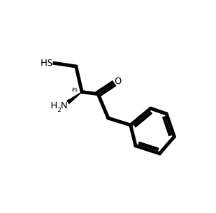 N[C@@H](CS)C(=O)Cc1ccccc1